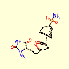 NS(=O)(=O)c1ccc(-c2ccc(C=C3NC(=O)NC3=O)o2)cc1